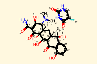 CN(C)[C@@H]1C(O)=C(C(N)=O)C(=O)[C@@]2(O)C(O)=C3C(=O)c4c(O)cccc4[C@@](C)(O)[C@H]3C[C@@H]12.O=c1[nH]cc(F)c(=O)[nH]1